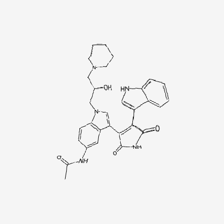 CC(=O)Nc1ccc2c(c1)c(C1=C(c3c[nH]c4ccccc34)C(=O)NC1=O)cn2CC(O)CN1CCCCC1